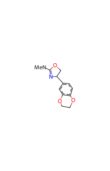 CNC1=NC(c2ccc3c(c2)OCCO3)CO1